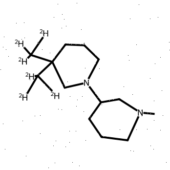 [2H]C([2H])([2H])C1(C([2H])([2H])[2H])C[CH]CN(C2CCCN(C)C2)C1